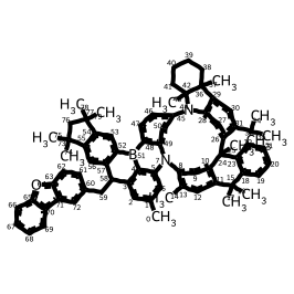 Cc1cc2c3c(c1)N1c4cc5c(cc4C)C(C)(C)c4ccccc4C5(C)c4cc5c(cc4C(C)(C)C)C4(C)CCCCC4(C)N5c4ccc(c1c4)B3c1cc3c(cc1C2Cc1ccc2oc4ccccc4c2c1)C(C)(C)CC3(C)C